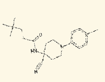 Cc1ccc(N2CCC(C#N)(NC(=O)[CH]CC(C)(C)C)CC2)cc1